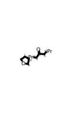 C1CCOC1.CC(C)CC(=O)CC(C)C